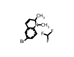 CC1C=Cc2cc(Br)ccc2N1C.FC(F)F